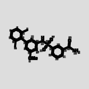 COc1cc(-c2c(C)cccc2C)nc(NS(=O)(=O)c2cccc(C(N)=O)c2)n1